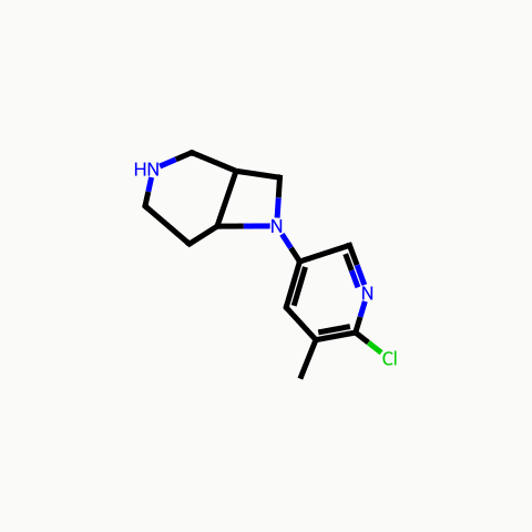 Cc1cc(N2CC3CNCCC32)cnc1Cl